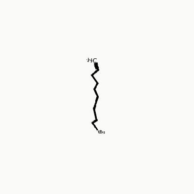 [CH]=CCCCCCCCC(C)(C)C